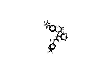 C[C@@](C(=O)N[C@H]1CC2CC1CC2(F)F)(c1cncnc1)N(C(=O)[C@H](F)Cl)c1ccc(S(F)(F)(F)(F)F)cc1